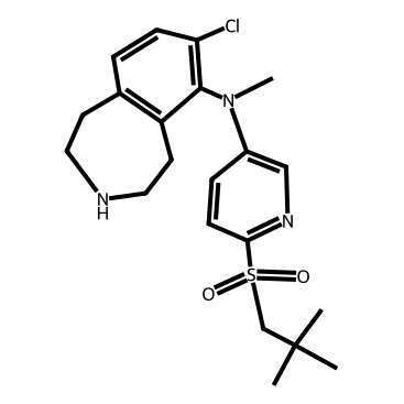 CN(c1ccc(S(=O)(=O)CC(C)(C)C)nc1)c1c(Cl)ccc2c1CCNCC2